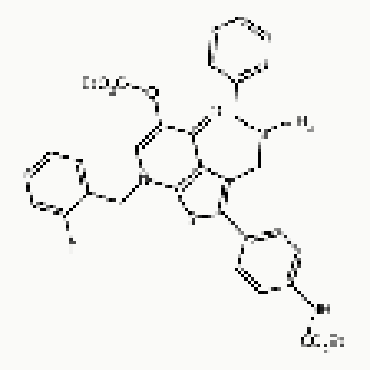 CCOC(=O)Nc1ccc(-c2sc3c(c2CN(C)Cc2ccccc2)c(=O)c(OC(=O)OCC)cn3Cc2ccccc2F)cc1